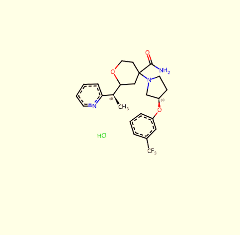 C[C@@H](c1ccccn1)C1CC(C(N)=O)(N2CC[C@@H](Oc3cccc(C(F)(F)F)c3)C2)CCO1.Cl